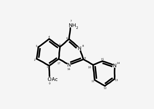 CC(=O)Oc1cccc2c(N)nc(-c3cccnc3)nc12